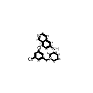 Clc1cc(Cl)cc(CN2CCC[C@@H](Nc3ccc4cnccc4c3)C2)c1